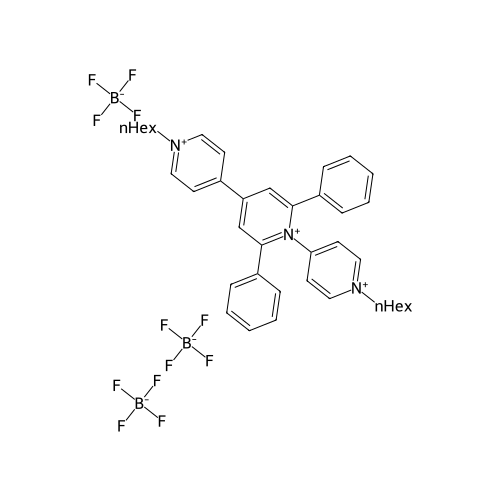 CCCCCC[n+]1ccc(-c2cc(-c3ccccc3)[n+](-c3cc[n+](CCCCCC)cc3)c(-c3ccccc3)c2)cc1.F[B-](F)(F)F.F[B-](F)(F)F.F[B-](F)(F)F